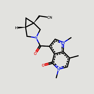 Cc1cn(C)c(=O)c2c(C(=O)N3C[C@@H]4C[C@]4(CC#N)C3)cn(C)c12